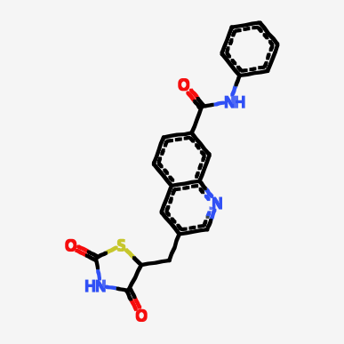 O=C1NC(=O)C(Cc2cnc3cc(C(=O)Nc4ccccc4)ccc3c2)S1